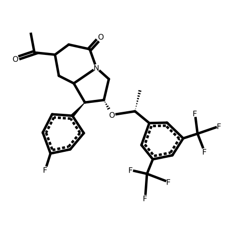 CC(=O)C1CC(=O)N2C[C@H](O[C@H](C)c3cc(C(F)(F)F)cc(C(F)(F)F)c3)[C@@H](c3ccc(F)cc3)C2C1